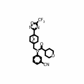 N#Cc1cccc(N(CC23CCC(c4noc(C(F)(F)F)n4)(CC2)CC3)C(=O)C2CCOCC2)c1